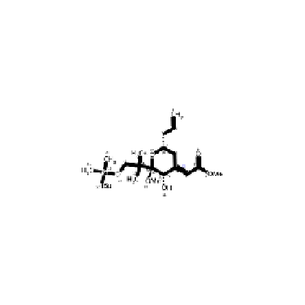 C=CC[C@@H]1C/C(=C\C(=O)OC)[C@H](O)[C@](OC)(C(C)(C)CO[Si](C)(C)C(C)(C)C)O1